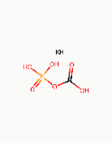 O=C(O)OP(=O)(O)O.[KH]